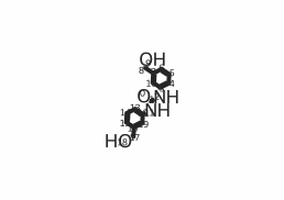 O=C(Nc1cccc(CO)c1)Nc1cccc(CO)c1